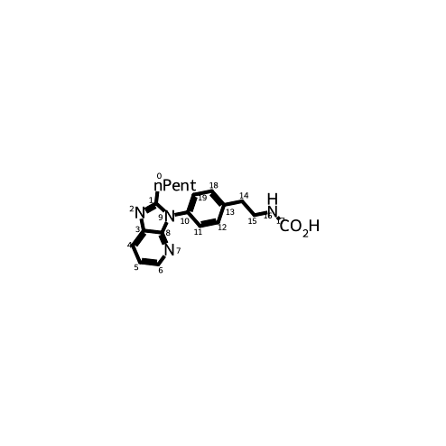 CCCCCc1nc2cccnc2n1-c1ccc(CCNC(=O)O)cc1